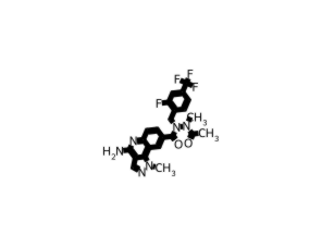 CC(=O)N(C)N(Cc1ccc(C(F)(F)F)cc1F)C(=O)c1ccc2nc(N)c3cnn(C)c3c2c1